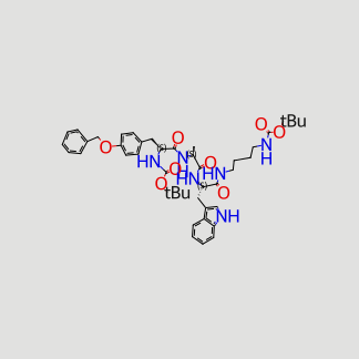 C[C@H](NC(=O)[C@H](Cc1ccc(OCc2ccccc2)cc1)NC(=O)OC(C)(C)C)C(=O)N[C@@H](Cc1c[nH]c2ccccc12)C(=O)NCCCCNC(=O)OC(C)(C)C